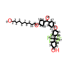 COCCCCCCCCCCOc1ccc(C(=O)c2ccc(Oc3ccc(C(c4ccc(O)cc4)(C(F)(F)F)C(F)(F)F)cc3)cc2)cc1